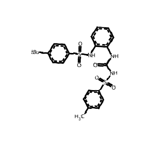 Cc1ccc(S(=O)(=O)NC(=O)Nc2ccccc2NS(=O)(=O)c2ccc(C(C)(C)C)cc2)cc1